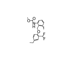 CCc1ccc(OCc2c(I)cccc2NC(=O)OC)c(C(F)F)c1